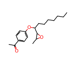 CCCCCCCC(Oc1ccc(C(C)=O)cc1)C1OC1C